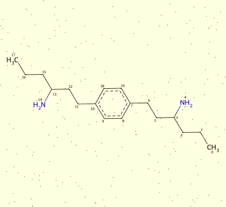 CCCC(N)CCc1ccc(CCC(N)CCC)cc1